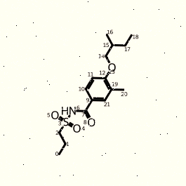 CCCS(=O)(=O)NC(=O)c1ccc(OCC(C)CC)c(C)c1